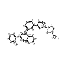 CN1CC[C@H](n2cc(-c3cncc(-c4cc(-c5ccccc5F)nc5ncccc45)c3)cn2)C1